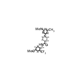 CNc1nc(C)nc(N2CCC(C(=O)NCc3ccc(OC)cc3C(F)(F)F)CC2)n1